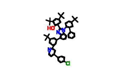 CC(C)(C)c1cc(-c2cc(-c3ccc(Cl)cc3)ccn2)cc(-c2cccc3c2nc(-c2cc(C(C)(C)C)cc(C(C)(C)C)c2O)n3-c2ccc(C(C)(C)C)cc2-c2ccccc2)c1